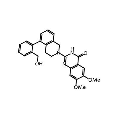 COc1cc2nc(N3CCc4c(cccc4-c4ccccc4CO)C3)[nH]c(=O)c2cc1OC